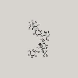 CC(C)[Si](Oc1ccc(-c2cc(C(=O)N[C@@H](CCc3ccccc3)C(=O)OC(C)(C)C)ccc2N)cc1)(C(C)C)C(C)C